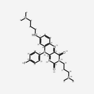 CN(C)CCCNc1ccc2nc3c(=O)n(CCCN(C)C)c(=O)nc-3n(-c3ccc(F)cc3)c2c1